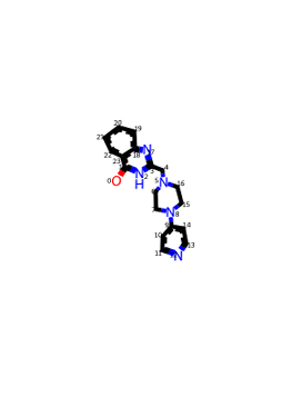 O=c1[nH]c(CN2CCN(c3ccncc3)CC2)nc2ccccc12